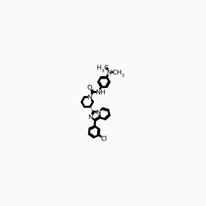 CN(C)c1ccc(NC(=O)N2CCC[C@@H](c3nc(-c4cccc(Cl)c4)c4ccccn34)C2)cc1